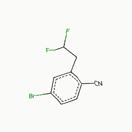 N#Cc1ccc(Br)cc1CC(F)F